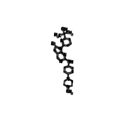 CCc1cc2cnc(Nc3ccc(N4CCN(C)CC4)cc3)nc2n1-c1cccc(C(C)(C)O)n1